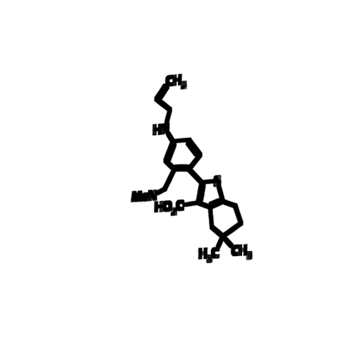 C=CCNc1ccc(-c2sc3c(c2C(=O)O)CC(C)(C)CC3)c(CNC)c1